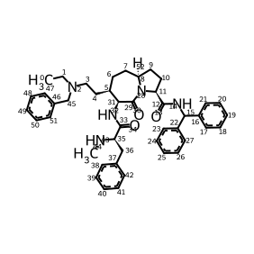 CCN(CC[C@H]1CC[C@H]2CC[C@@H](C(=O)NC(c3ccccc3)c3ccccc3)N2C(=O)[C@H]1NC(=O)[C@@H](Cc1ccccc1)NC)Cc1ccccc1